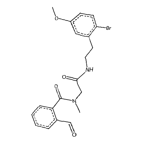 COc1ccc(Br)c(CCNC(=O)CN(C)C(=O)c2ccccc2C=O)c1